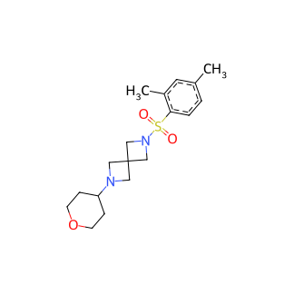 Cc1ccc(S(=O)(=O)N2CC3(CN(C4CCOCC4)C3)C2)c(C)c1